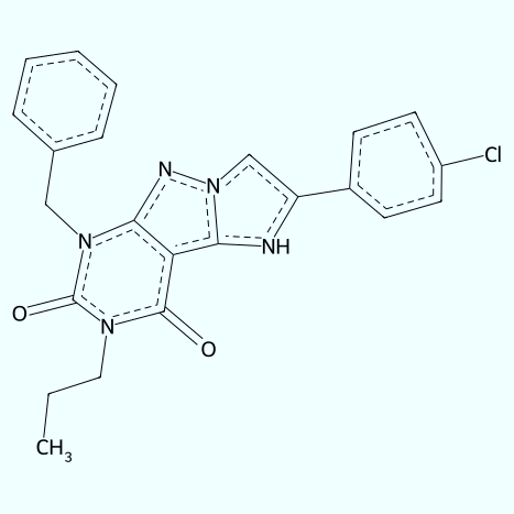 CCCn1c(=O)c2c(nn3cc(-c4ccc(Cl)cc4)[nH]c23)n(Cc2ccccc2)c1=O